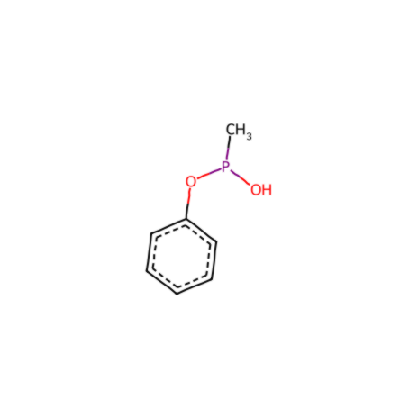 CP(O)Oc1ccccc1